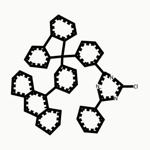 Clc1nc(-c2ccccc2)nc(-c2cccc(C3(c4cccc(-c5c6ccccc6cc6ccccc56)c4)c4ccccc4-c4ccccc43)c2)n1